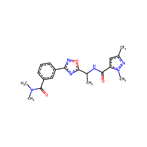 CC(NC(=O)c1cc(C(F)(F)F)nn1C)c1nc(-c2cccc(C(=O)N(C)C)c2)no1